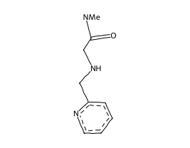 CNC(=O)CNCc1ccccn1